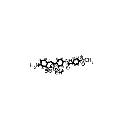 CS(=O)(=O)c1ccc(C(=O)Nc2ccc(C=Cc3ccc(N)cc3S(=O)(=O)O)c(S(=O)(=O)O)c2)cc1